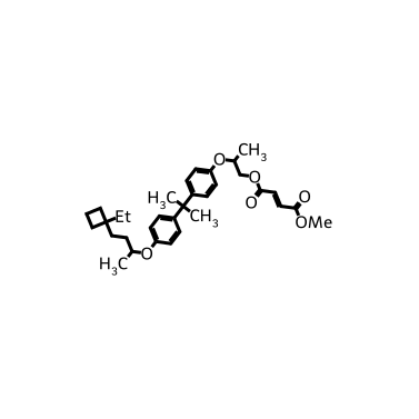 CCC1(CCC(C)Oc2ccc(C(C)(C)c3ccc(OC(C)COC(=O)/C=C/C(=O)OC)cc3)cc2)CCC1